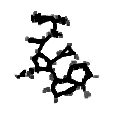 N=C(N)NC(=O)c1cnn(-c2cccc3ncccc23)c1C1CC1.O